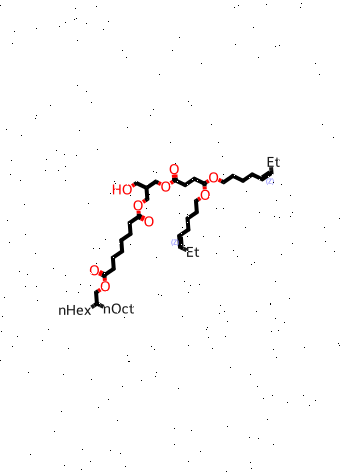 CC/C=C\CCCCOC(CCC(=O)OCC(CO)COC(=O)CCCCCCC(=O)OCC(CCCCCC)CCCCCCCC)OCCCC/C=C\CC